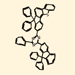 c1ccc(-c2nc(-c3ccc4c(c3)C(c3ccccc3)(c3ccccc3)c3ccccc3-4)nc(-c3ccc4c(c3)C(c3ccccc3)(c3ccccc3)c3ccc5c(sc6ccccc65)c3-4)n2)cc1